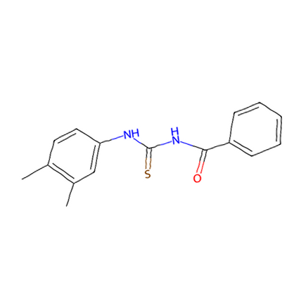 Cc1ccc(NC(=S)NC(=O)c2ccccc2)cc1C